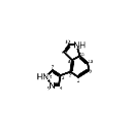 c1cc(-c2cn[nH]c2)c2cc[nH]c2c1